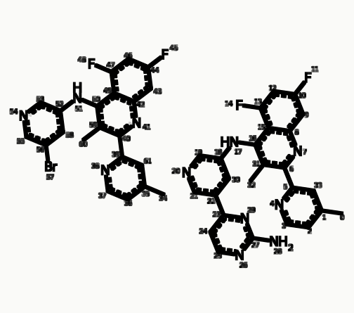 Cc1ccnc(-c2nc3cc(F)cc(F)c3c(Nc3cncc(-c4ccnc(N)n4)c3)c2C)c1.Cc1ccnc(-c2nc3cc(F)cc(F)c3c(Nc3cncc(Br)c3)c2C)c1